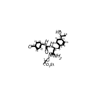 CCOC(=O)CO/N=C(\N)[C@H](Cc1ccc(C(C)O)cc1)NC(=O)Nc1ccc(Cl)cc1